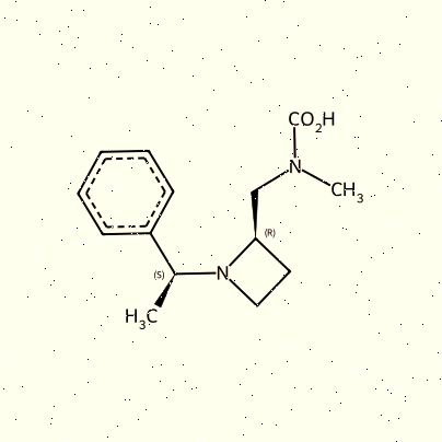 C[C@@H](c1ccccc1)N1CC[C@@H]1CN(C)C(=O)O